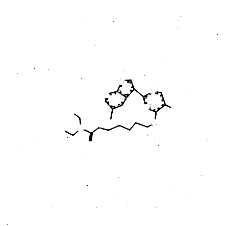 CCN(CC)C(=O)CCCCC[C@@H](C)Nc1nc(-c2c[nH]c3ncc(F)cc23)ncc1F